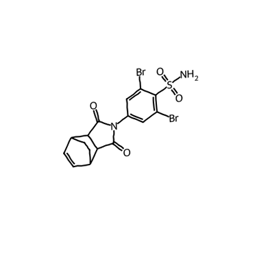 NS(=O)(=O)c1c(Br)cc(N2C(=O)C3C4C=CC(CC4)C3C2=O)cc1Br